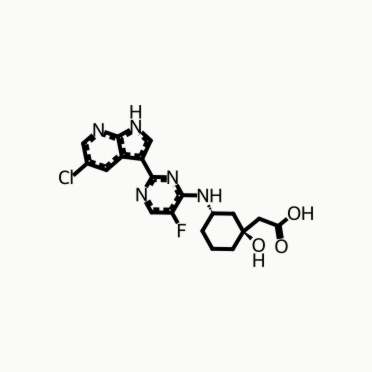 O=C(O)C[C@]1(O)CCC[C@H](Nc2nc(-c3c[nH]c4ncc(Cl)cc34)ncc2F)C1